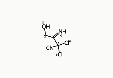 N=C(CO)C(Cl)(Cl)Cl